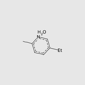 CCc1ccc(C)nc1.O